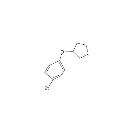 CCc1ccc(OC2CCCC2)cc1